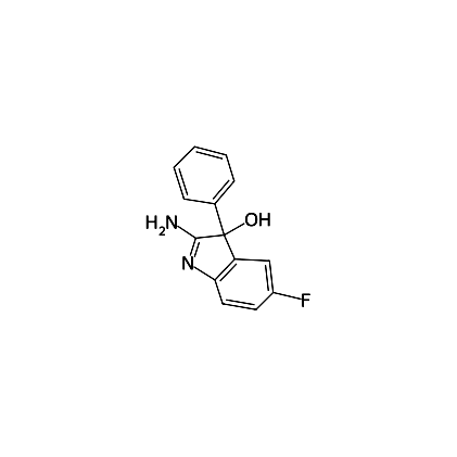 NC1=Nc2ccc(F)cc2C1(O)c1ccccc1